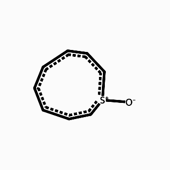 [O-][s+]1cccccccc1